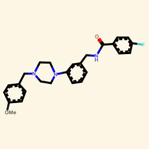 COc1ccc(CN2CCN(c3cccc(CNC(=O)c4ccc(F)cc4)c3)CC2)cc1